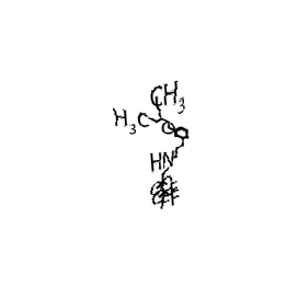 CCCC(CCC)COc1cccc(CCCNCCC(=O)OC(=O)C(F)(F)F)c1